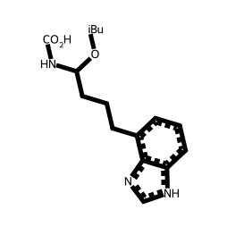 CCC(C)OC(CCCc1cccc2[nH]cnc12)NC(=O)O